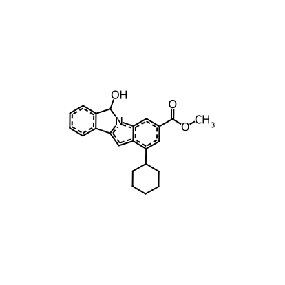 COC(=O)c1cc(C2CCCCC2)c2cc3n(c2c1)C(O)c1ccccc1-3